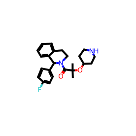 CC(C)(OC1CCNCC1)C(=O)N1CCc2ccccc2C1c1ccc(F)cc1